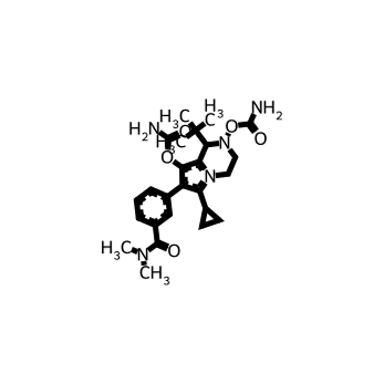 CN(C)C(=O)c1cccc(-c2c(OC(N)=O)c3n(c2C2CC2)CCN(OC(N)=O)C3C(C)(C)C)c1